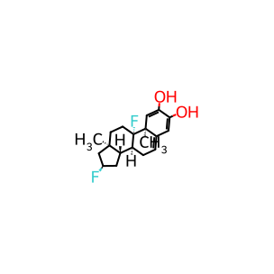 C[C@]12CC[C@]3(F)[C@@H](CC=C4C=C(O)C(O)=C[C@@]43C)[C@@H]1C[C@@H](F)C2